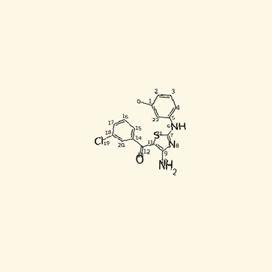 Cc1cccc(Nc2nc(N)c(C(=O)c3cccc(Cl)c3)s2)c1